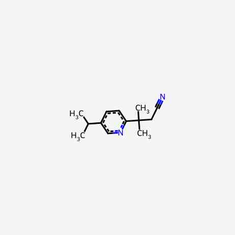 CC(C)c1ccc(C(C)(C)CC#N)nc1